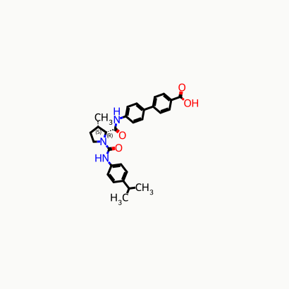 CC(C)c1ccc(NC(=O)N2CC[C@H](C)[C@@H]2C(=O)Nc2ccc(-c3ccc(C(=O)O)cc3)cc2)cc1